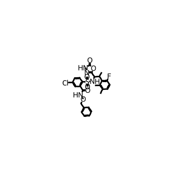 Cc1ccc(F)c(C(C)C(NS(=O)(=O)c2ccc(Cl)cc2C(=O)NOCc2ccccc2)c2n[nH]c(=O)o2)c1C